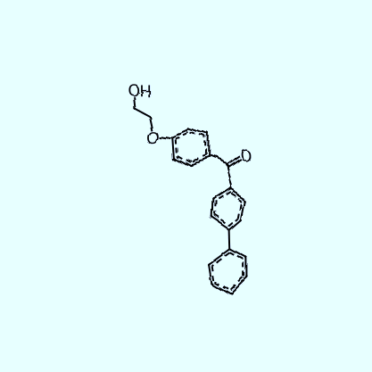 O=C(c1ccc(OCCO)cc1)c1ccc(-c2ccccc2)cc1